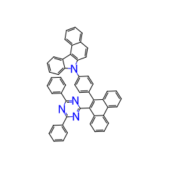 c1ccc(-c2nc(-c3ccccc3)nc(-c3c(-c4ccc(-n5c6ccccc6c6c7ccccc7ccc65)cc4)c4ccccc4c4ccccc34)n2)cc1